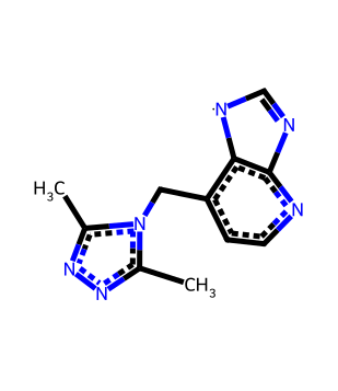 Cc1nnc(C)n1Cc1ccnc2c1[N]C=N2